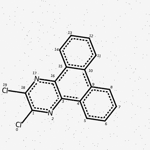 Clc1nc2c3ccccc3c3ccccc3c2nc1Cl